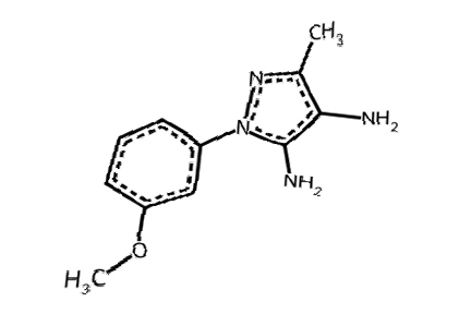 COc1cccc(-n2nc(C)c(N)c2N)c1